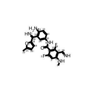 CNc1cc(F)c(C(=O)Nc2ccc(N)c(C(=N)c3ccc(C)o3)c2)c(F)c1C=N